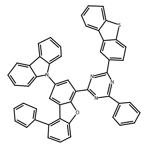 c1ccc(-c2nc(-c3ccc4sc5ccccc5c4c3)nc(-c3cc(-n4c5ccccc5c5ccccc54)cc4c3oc3cccc(-c5ccccc5)c34)n2)cc1